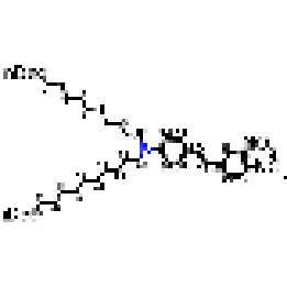 CCCCCCCCCCCCCCCCCCCCN(CCCCCCCCCCCCCCCCCCCC)c1ccc(C=Cc2ccc([N+](=O)[O-])c([N+](=O)[O-])c2)cc1